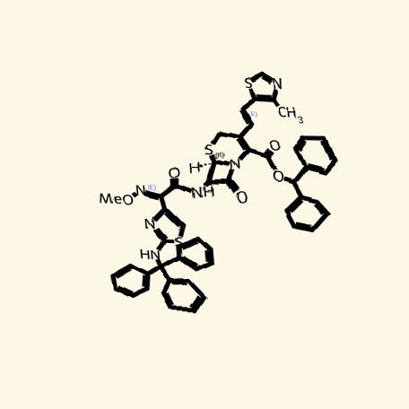 CO/N=C(/C(=O)NC1C(=O)N2C(C(=O)OC(c3ccccc3)c3ccccc3)=C(/C=C/c3scnc3C)CS[C@H]12)c1csc(NC(c2ccccc2)(c2ccccc2)c2ccccc2)n1